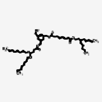 CCCCCCCCOC(CCC(=O)OCc1cc(CO)cc(COC(=O)CCCCCCC(=O)OCCC(CCCCC)CCCCC)c1)OCCCCCCCC